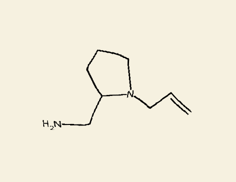 C=CCN1CCCC1CN